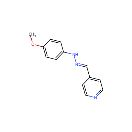 COc1ccc(N/N=C/c2ccncc2)cc1